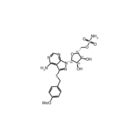 COc1ccc(CSc2nn([C@@H]3O[C@H](COS(N)(=O)=O)[C@@H](O)[C@H]3O)c3ncnc(N)c23)cc1